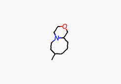 CC1CCCC2COCCN2CC1